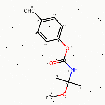 CCCOC(C)(C)NC(=O)Oc1ccc(C=O)cc1